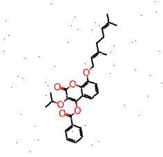 CC(C)=CCC/C(C)=C/COc1cccc2c(OC(=O)c3ccccc3)c(OC(C)C)c(=O)oc12